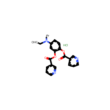 CC(C)N(CC=O)c1ccc(OC(=O)c2cccnc2)c(OC(=O)c2cccnc2)c1.Cl